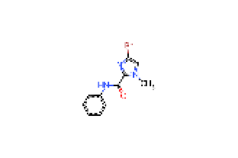 Cn1cc(Br)nc1C(=O)Nc1ccccc1